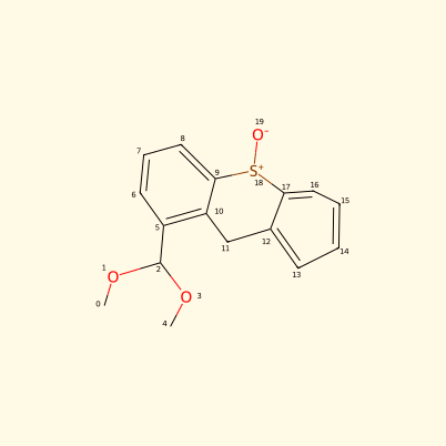 COC(OC)c1cccc2c1Cc1ccccc1[S+]2[O-]